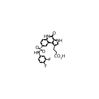 O=C(O)CCc1c[nH]c2c(=O)[nH]c3ccc(S(=O)(=O)Nc4ccc(F)c(F)c4)cc3c12